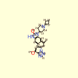 COc1cc(-c2cc3[nH]c(=O)n(C4CCN(C5CCC5)CC4)c3cc2C(C)C)cn2ncnc12